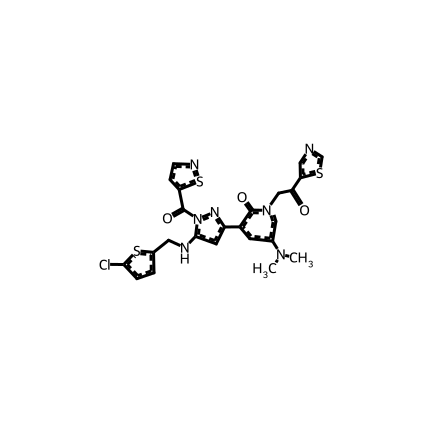 CN(C)c1cc(-c2cc(NCc3ccc(Cl)s3)n(C(=O)c3ccns3)n2)c(=O)n(CC(=O)c2cncs2)c1